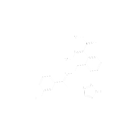 CO/N=C(/C(=O)OC)c1ccccc1CO/N=C(\C)c1cccc(C(F)(F)F)c1.c1c[nH]nn1